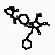 CN1C(=N)NC(CCC2CCCCC2)(C[C@H]2CCC[C@H](N[C@H]3CCNC3=O)C2)C1=O